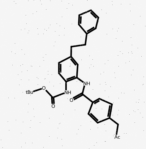 CC(=O)Cc1ccc(C(=O)Nc2cc(CCc3ccccc3)ccc2NC(=O)OC(C)(C)C)cc1